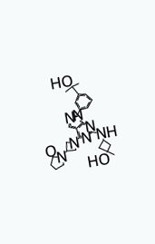 CC1(O)CC(Nc2nc(N3CC(N4CCCC4=O)C3)c3cnn(-c4cccc(C(C)(C)O)c4)c3n2)C1